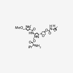 COCc1cc(C(=O)Nc2cc([C@@H]3C[C@H](OC(=O)NC45CC(C4)[C@@H]5C)CO3)nn2COC(=O)[C@@H](N)C(C)C)n(C)n1